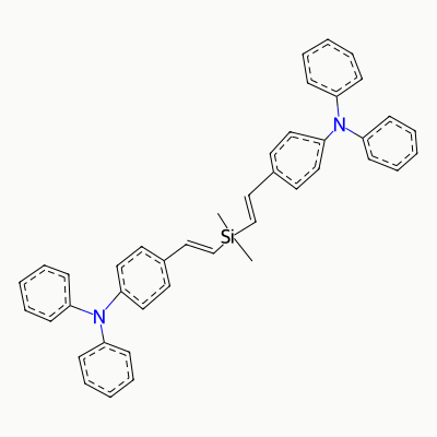 C[Si](C)(/C=C/c1ccc(N(c2ccccc2)c2ccccc2)cc1)/C=C/c1ccc(N(c2ccccc2)c2ccccc2)cc1